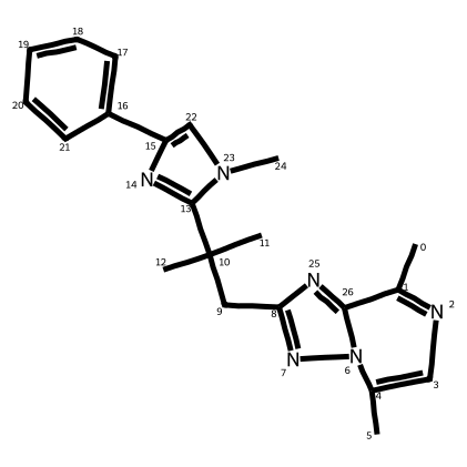 Cc1ncc(C)n2nc(CC(C)(C)c3nc(-c4ccccc4)cn3C)nc12